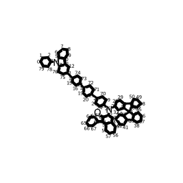 c1ccc(-n2c3ccccc3c3cc(-c4ccc(-c5ccc(-c6ccc(N(c7ccc8c(c7)C7(c9ccccc9-c9ccccc97)c7ccccc7-8)c7cc8ccccc8c8c7oc7ccccc78)cc6)cc5)cc4)ccc32)cc1